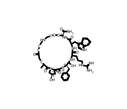 CC1CCC(=O)CCCNCCCC[C@@H](C(N)=O)NC(=O)C(Cc2c[nH]c3ccccc23)NC(=O)C(CCCNC(=N)N)NC(O)[C@@H](Cc2ccccc2)NC(=O)[C@@H]2C[C@@H](O)CN2C1=O